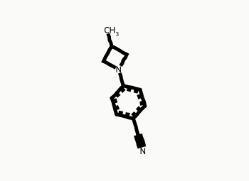 CC1CN(c2ccc(C#N)cc2)C1